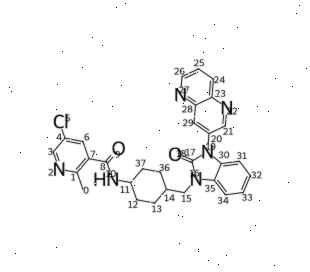 Cc1ncc(Cl)cc1C(=O)NC1CCC(Cn2c(=O)n(-c3cnc4cccnc4c3)c3ccccc32)CC1